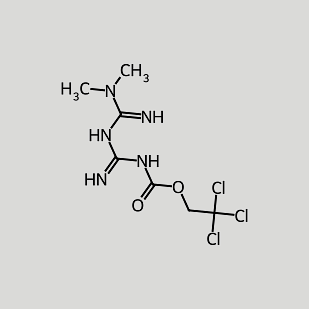 CN(C)C(=N)NC(=N)NC(=O)OCC(Cl)(Cl)Cl